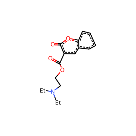 CCN(CC)CCOC(=O)c1cc2ccccc2oc1=O